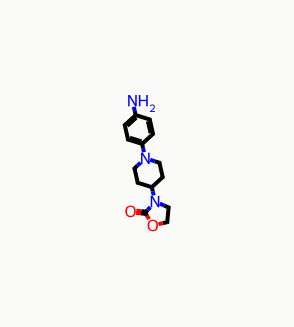 Nc1ccc(N2CCC(N3CCOC3=O)CC2)cc1